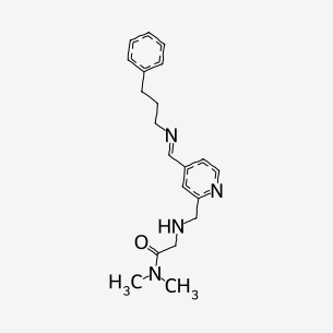 CN(C)C(=O)CNCc1cc(/C=N/CCCc2ccccc2)ccn1